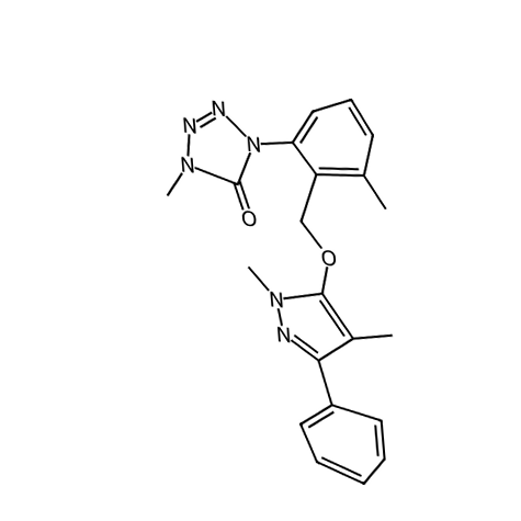 Cc1cccc(-n2nnn(C)c2=O)c1COc1c(C)c(-c2ccccc2)nn1C